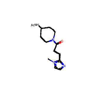 CC(=O)NC1CCN(C(=O)CCc2nccn2C)CC1